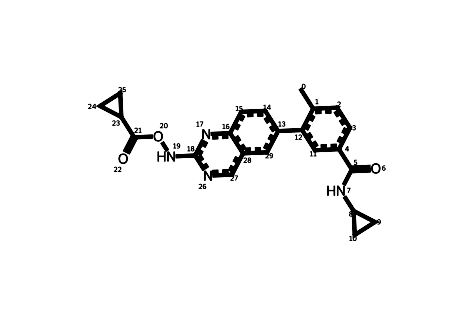 Cc1ccc(C(=O)NC2CC2)cc1-c1ccc2nc(NOC(=O)C3CC3)ncc2c1